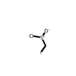 [O-][S+](Cl)CI